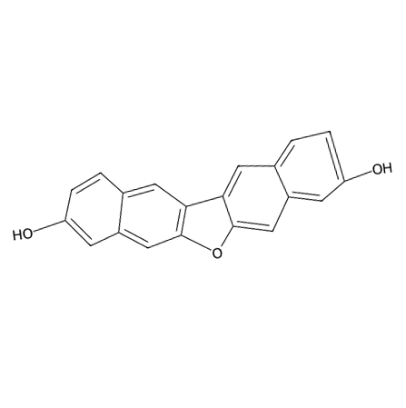 Oc1ccc2cc3c(cc2c1)oc1cc2cc(O)ccc2cc13